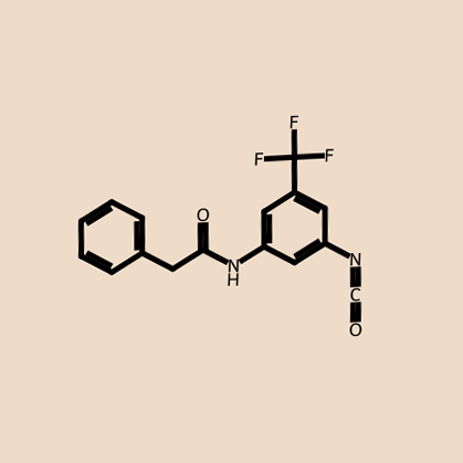 O=C=Nc1cc(NC(=O)Cc2ccccc2)cc(C(F)(F)F)c1